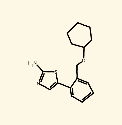 Nc1ncc(-c2ccccc2COC2CCCCC2)s1